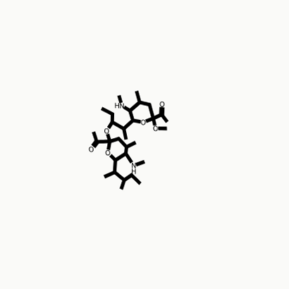 CCC(C)C(C)C1OC(OC(CC)C(C)C2OC(OC)(C(C)=O)CC(C)C2NC)(C(C)=O)CC(C)C1NC